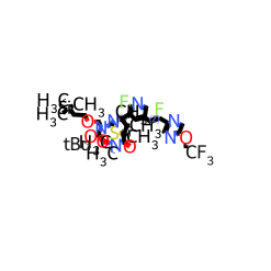 CC1[C@@](C)(C(=O)N(C)C)SC(N(COCC[Si](C)(C)C)C(=O)OC(C)(C)C)=N[C@]1(C)c1cc(/C=C(\F)c2cnc(OCC(F)(F)F)cn2)cnc1F